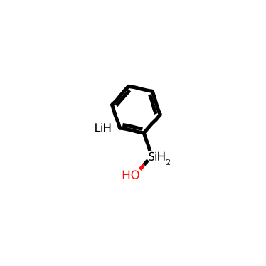 O[SiH2]c1ccccc1.[LiH]